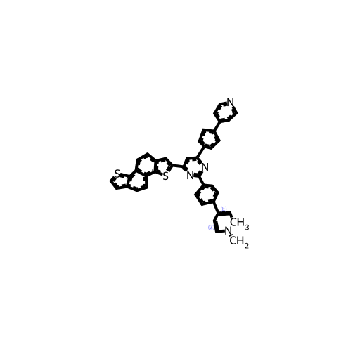 C=N/C=C\C(=C/C)c1ccc(-c2nc(-c3ccc(-c4ccncc4)cc3)cc(-c3cc4ccc5c(ccc6ccsc65)c4s3)n2)cc1